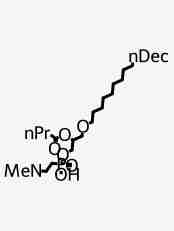 CCCCCCCCCCCCCCCCCCCOCC(COP(=O)(O)CCNC)OC(=O)CCC